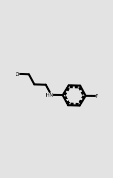 [O]CCCNc1ccc(F)cc1